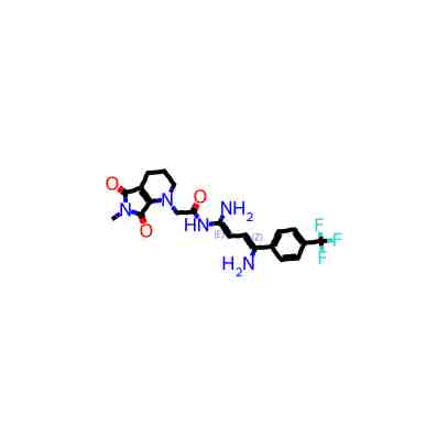 CN1C(=O)C2=C(C1=O)N(CC(=O)N/C(N)=C/C=C(\N)c1ccc(C(F)(F)F)cc1)CCC2